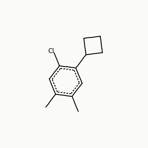 Cc1cc(Cl)c(C2CCC2)cc1C